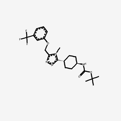 Cn1c(COc2cccc(C(F)(F)F)c2)nnc1[C@H]1CC[C@H](NC(=O)OC(C)(C)C)CC1